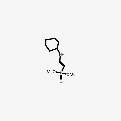 COP(=O)(C=CNC1CCCCC1)OC